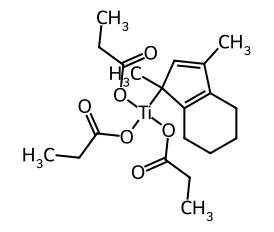 CCC(=O)[O][Ti]([O]C(=O)CC)([O]C(=O)CC)[C]1(C)C=C(C)C2=C1CCCC2